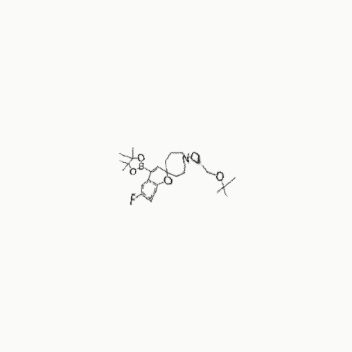 CC(C)(C)OCON1CCCC2(C=C(B3OC(C)(C)C(C)(C)O3)c3cc(F)ccc3O2)CC1